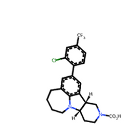 O=C(O)N1CC[C@H]2[C@@H](C1)c1cc(-c3ccc(C(F)(F)F)cc3Cl)cc3c1N2CCCC3